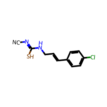 N#CN=C(S)NCC=Cc1ccc(Cl)cc1